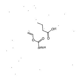 C=COC(=O)CCCCCC.CCCC(=O)O